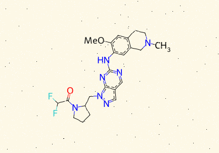 COc1cc2c(cc1Nc1ncc3cnn(CC4CCCN4C(=O)C(F)F)c3n1)CN(C)CC2